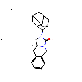 O=C1N(C2C3CC4CC(C3)CC2C4)C[C@@H]2Cc3ccccc3CN12